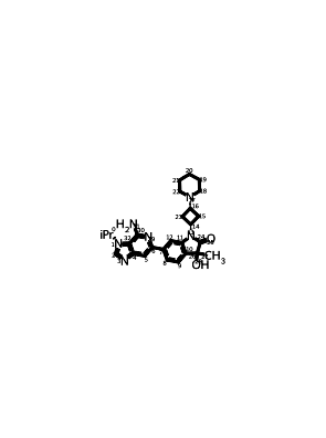 CC(C)n1cnc2cc(-c3ccc4c(c3)N([C@H]3C[C@@H](N5CCCCC5)C3)C(=O)C4(C)O)nc(N)c21